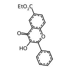 CCOC(=O)c1ccc2oc(-c3ccccc3)c(O)c(=O)c2c1